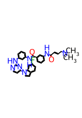 CN(C)C/C=C/C(=O)Nc1cccc(C(=O)Nc2cccc(Nc3nccc(-n4ccc5ccc(F)cc54)n3)c2)c1